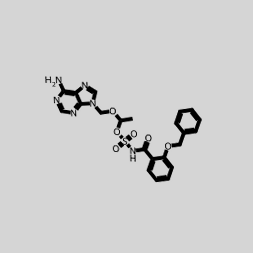 CC(OCn1cnc2c(N)ncnc21)OS(=O)(=O)NC(=O)c1ccccc1OCc1ccccc1